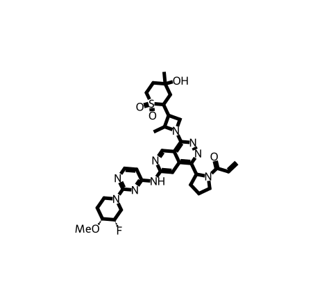 C=CC(=O)N1CCCC1c1nnc(N2CC(C3CC(C)(O)CCS3(=O)=O)C2C)c2cnc(Nc3ccnc(N4CC[C@@H](OC)[C@@H](F)C4)n3)cc12